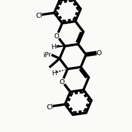 CC(C)C1(C)[C@@H]2Oc3c(Cl)cccc3C=C2C(=O)C2=Cc3cccc(Cl)c3O[C@H]21